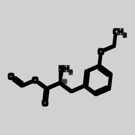 CCOc1cccc(C[C@H](N)C(=O)OC=O)c1